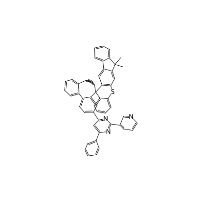 CC1(C)c2ccccc2-c2cc3c(cc21)Sc1ccccc1C31c2ccccc2-c2ccccc2-c2ccc(-c3cc(-c4ccccc4)nc(-c4cccnc4)n3)cc21